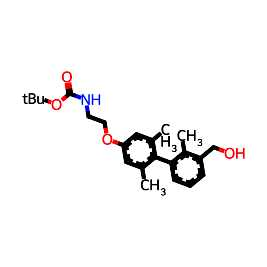 Cc1cc(OCCNC(=O)OC(C)(C)C)cc(C)c1-c1cccc(CO)c1C